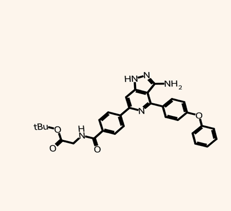 CC(C)(C)OC(=O)CNC(=O)c1ccc(-c2cc3[nH]nc(N)c3c(-c3ccc(Oc4ccccc4)cc3)n2)cc1